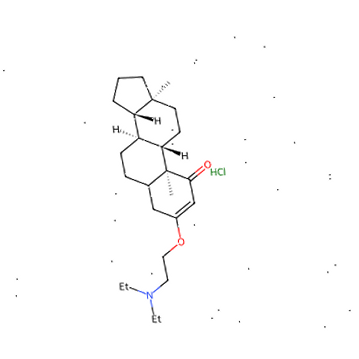 CCN(CC)CCOC1=CC(=O)[C@@]2(C)C(CC[C@H]3[C@@H]4CCC[C@@]4(C)CC[C@@H]32)C1.Cl